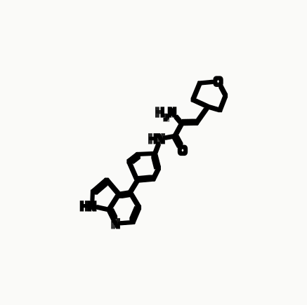 NC(=CC1CCOCC1)C(=O)Nc1ccc(-c2ccnc3[nH]ccc23)cc1